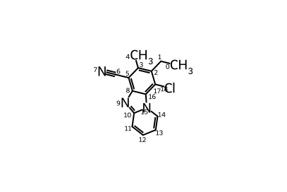 CCc1c(C)c(C#N)c2nc3ccccn3c2c1Cl